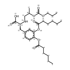 CCCCCC(=O)Oc1ccc(C[C@H](NCC(C)OC(=O)OCCC)C(=O)O)cc1OC(=O)CCCCC